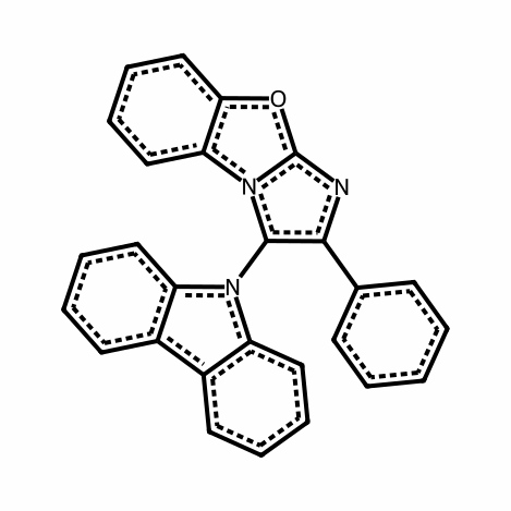 c1ccc(-c2nc3oc4ccccc4n3c2-n2c3ccccc3c3ccccc32)cc1